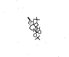 C=CC[C@@H]1CCN(C(=O)OC(C)(C)C)[C@H]2C[C@H](C(C)(C)C)[C@@H]12